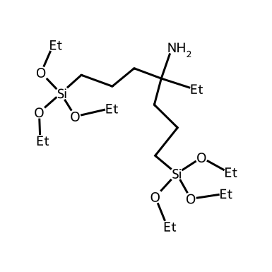 CCO[Si](CCCC(N)(CC)CCC[Si](OCC)(OCC)OCC)(OCC)OCC